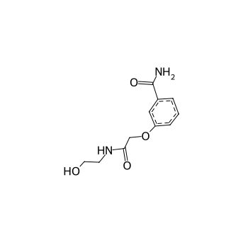 NC(=O)c1cccc(OCC(=O)NCCO)c1